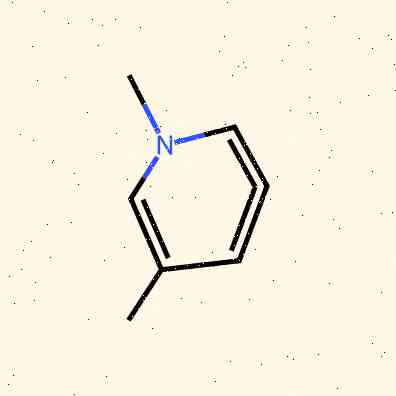 CC1=CN(C)C=C=C1